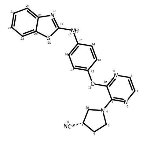 N#C[C@H]1CCN(c2nccnc2Oc2ccc(Nc3nc4ccccc4s3)cc2)C1